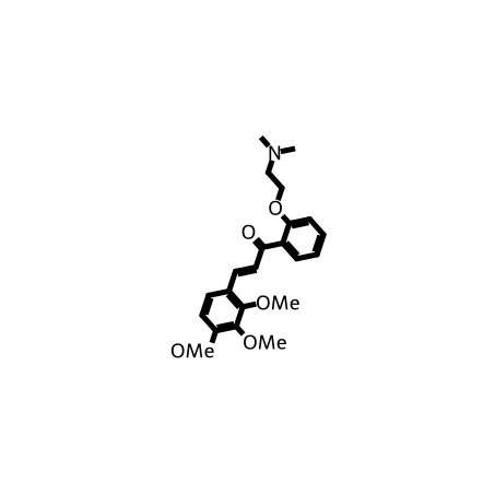 COc1ccc(C=CC(=O)c2ccccc2OCCN(C)C)c(OC)c1OC